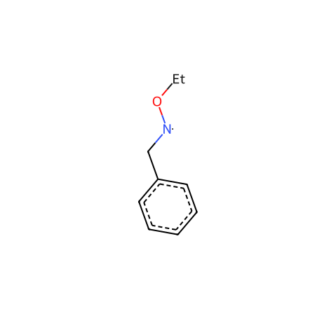 CCO[N]Cc1ccccc1